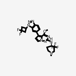 COc1nc(N[C@@H]2CCN(C)CC2(F)F)nn2ccc(-c3ccc4nnn(C5CC(F)(F)C5)c4c3)c12